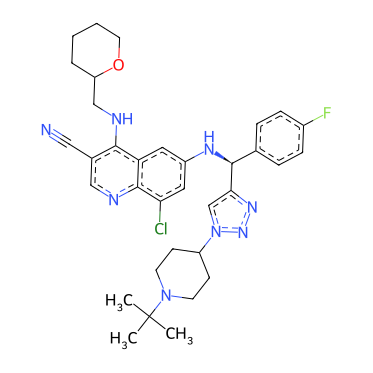 CC(C)(C)N1CCC(n2cc([C@@H](Nc3cc(Cl)c4ncc(C#N)c(NCC5CCCCO5)c4c3)c3ccc(F)cc3)nn2)CC1